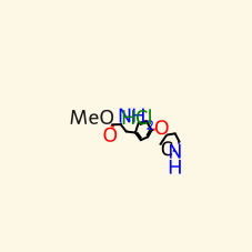 COC(=O)[C@@H](N)Cc1ccc(OC2CCNCC2)cc1.Cl